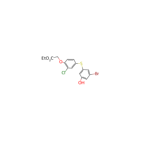 CCOC(=O)COc1ccc(Sc2cc(O)cc(Br)c2)cc1Cl